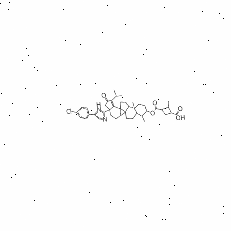 CC(C)C1=C2C(c3ncc(-c4ccc(Cl)cc4)[nH]3)(CCC3C24CCC2C5(C)CCC(OC(=O)C6CC(C(=O)O)C6C)C(C)C5CCC234)CC1=O